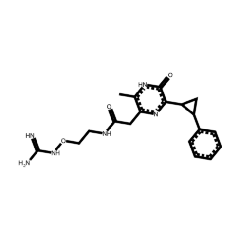 Cc1[nH]c(=O)c(C2CC2c2ccccc2)nc1CC(=O)NCCONC(=N)N